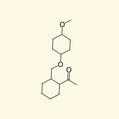 COC1CCC(OCC2CCCCC2C(C)=O)CC1